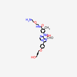 Cc1cc(Nc2nccn3c(-c4ccc(OCC#CCO)cc4)cnc23)ccc1C(=O)NCCOCCN.O=CO